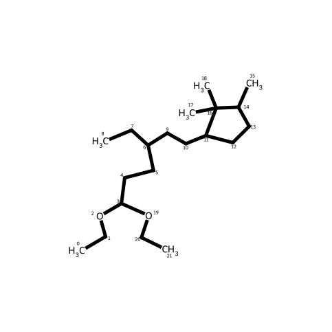 CCOC(CCC(CC)CCC1CCC(C)C1(C)C)OCC